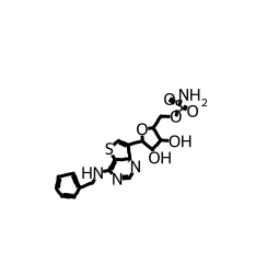 NS(=O)(=O)OCC1OC(c2csc3c(NCc4ccccc4)ncnc23)C(O)C1O